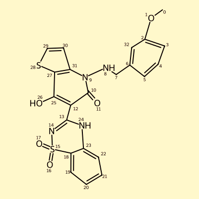 COc1cccc(CNn2c(=O)c(C3=NS(=O)(=O)c4ccccc4N3)c(O)c3sccc32)c1